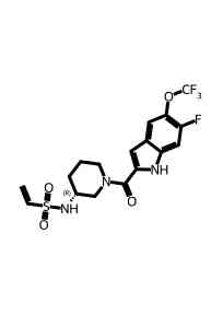 C=CS(=O)(=O)N[C@@H]1CCCN(C(=O)c2cc3cc(OC(F)(F)F)c(F)cc3[nH]2)C1